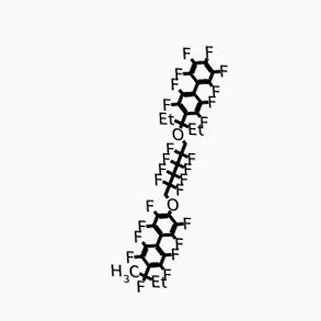 CCC(C)(F)c1c(F)c(F)c(-c2c(F)c(F)c(OCC(F)(F)C(F)(F)C(F)(F)C(F)(F)COC(CC)(CC)c3c(F)c(F)c(-c4c(F)c(F)c(F)c(F)c4F)c(F)c3F)c(F)c2F)c(F)c1F